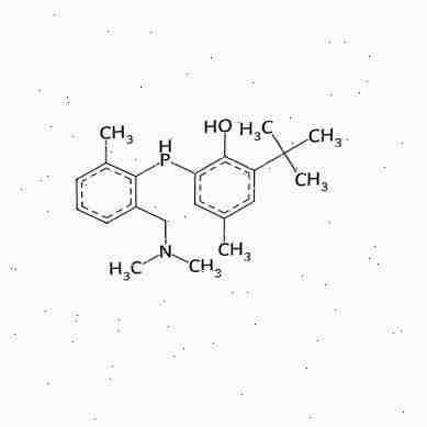 Cc1cc(Pc2c(C)cccc2CN(C)C)c(O)c(C(C)(C)C)c1